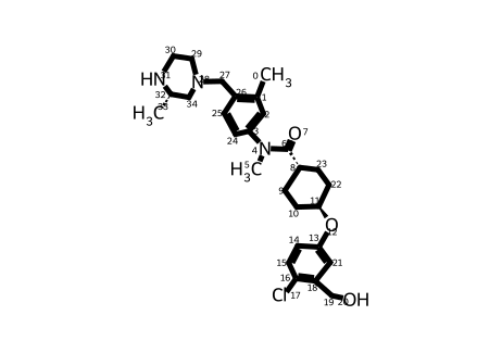 Cc1cc(N(C)C(=O)[C@H]2CC[C@H](Oc3ccc(Cl)c(CO)c3)CC2)ccc1CN1CCN[C@@H](C)C1